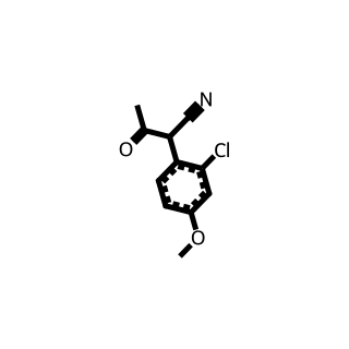 COc1ccc(C(C#N)C(C)=O)c(Cl)c1